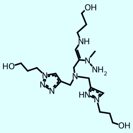 CN(N)/C(=C\NCCCO)CN(Cc1cn(CCCO)nn1)Cc1cn(CCCO)[nH]1